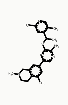 Cc1cnc(N)cc1C(C)Oc1nc(-c2cc(C)c3c(c2)CN(C)CC3)cnc1N